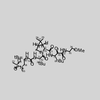 CCCCC(NC(=O)[C@@H]1[C@@H]2[C@H](CN1C(=O)[C@@H](NC(=O)N[C@H](CN(C)S(C)(=O)=O)C(C)(C)C)C(C)(C)C)C2(C)C)C(=O)C(=O)NCCOC